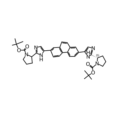 CC(C)(C)OC(=O)N1CCCC1c1ncc(-c2ccc3c(ccc4cc(-c5cnc([C@@H]6CCCN6C(=O)OC(C)(C)C)[nH]5)ccc43)c2)[nH]1